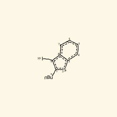 CCCCc1sc2ccccc2c1I